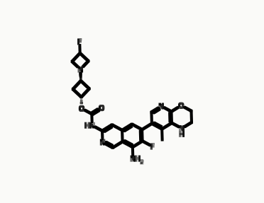 Cc1c(-c2cc3cc(NC(=O)O[C@H]4C[C@H](N5CC(F)C5)C4)ncc3c(N)c2F)cnc2c1NCCO2